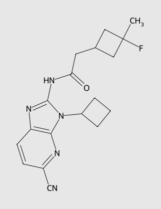 CC1(F)CC(CC(=O)Nc2nc3ccc(C#N)nc3n2C2CCC2)C1